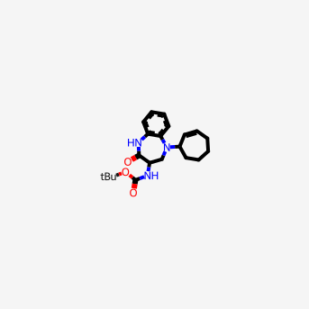 CC(C)(C)OC(=O)NC1CN(C2C=CCCCC2)c2ccccc2NC1=O